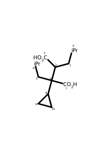 CC(C)CC(C(=O)O)C(CC(C)C)(C(=O)O)C1CC1